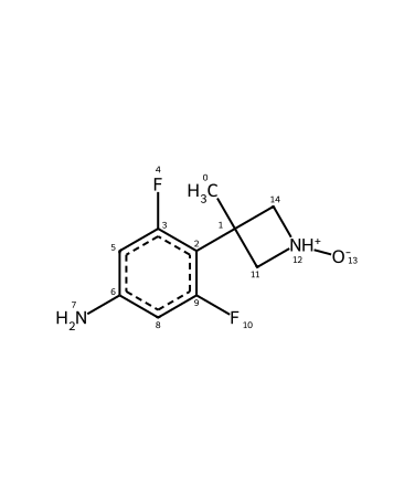 CC1(c2c(F)cc(N)cc2F)C[NH+]([O-])C1